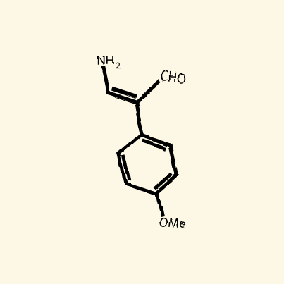 COc1ccc(/C(C=O)=C/N)cc1